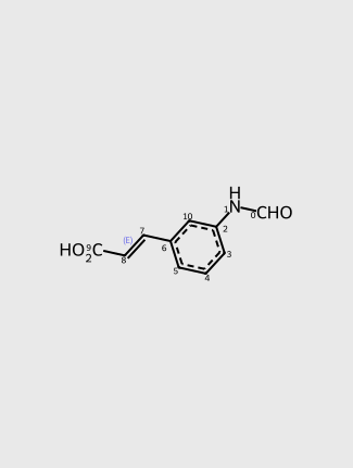 O=CNc1cccc(/C=C/C(=O)O)c1